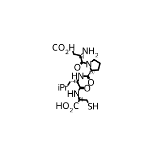 CC(C)C[C@H](NC(=O)[C@@H]1CCCN1C(=O)[C@@H](N)CC(=O)O)C(=O)N[C@@H](CS)C(=O)O